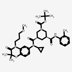 COCCCN1C(=O)C(C)(C)Oc2ccc(N(C(=O)[C@@H]3C[C@H](C(=O)Nc4ccccc4C)CN(C(=O)OC(C)(C)C)C3)C3CC3)cc21